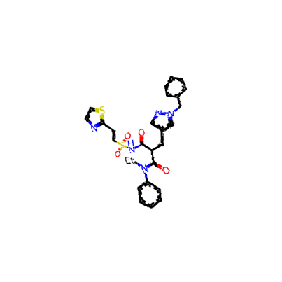 CCN(C(=O)C(Cc1cnn(Cc2ccccc2)c1)C(=O)NS(=O)(=O)/C=C/c1nccs1)c1ccccc1